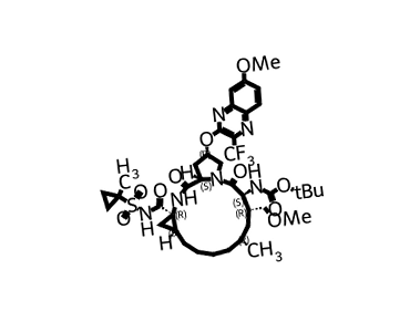 COC[C@@H]1C[C@H](C)CCCC[C@H]2C[C@@]2(C(=O)NS(=O)(=O)C2(C)CC2)NC(=O)[C@@H]2C[C@@H](Oc3nc4cc(OC)ccc4nc3C(F)(F)F)CN2C(=O)[C@H]1NC(=O)OC(C)(C)C